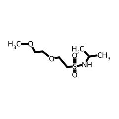 COCCOCCS(=O)(=O)NC(C)C